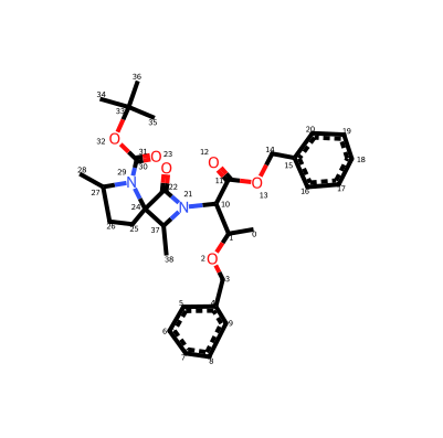 CC(OCc1ccccc1)C(C(=O)OCc1ccccc1)N1C(=O)C2(CCC(C)N2C(=O)OC(C)(C)C)C1C